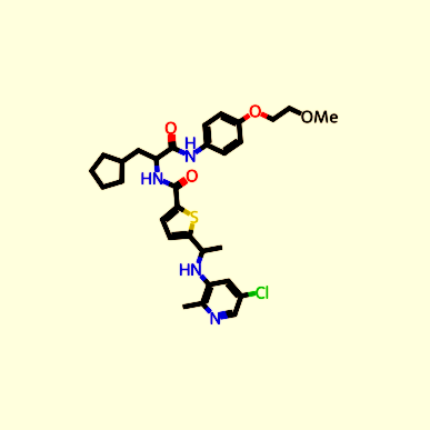 COCCOc1ccc(NC(=O)C(CC2CCCC2)NC(=O)c2ccc(C(C)Nc3cc(Cl)cnc3C)s2)cc1